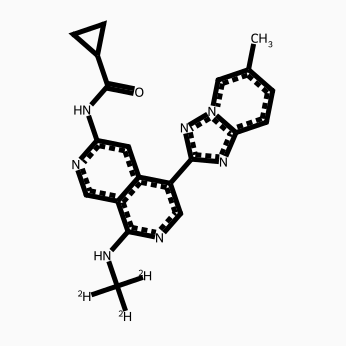 [2H]C([2H])([2H])Nc1ncc(-c2nc3ccc(C)cn3n2)c2cc(NC(=O)C3CC3)ncc12